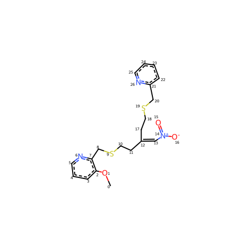 COc1cccnc1CSCC/C(=C/[N+](=O)[O-])CCSCc1ccccn1